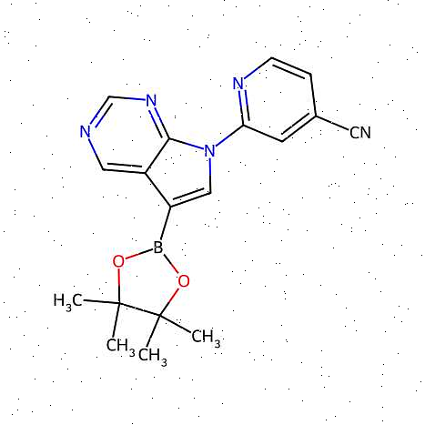 CC1(C)OB(c2cn(-c3cc(C#N)ccn3)c3ncncc23)OC1(C)C